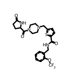 O=C1CCC(C(=O)N2CCN(Cc3ccc(C(=O)NCc4ccccc4OC(F)(F)F)s3)CC2)N1